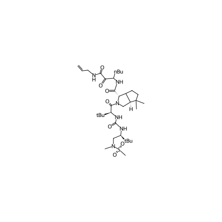 C=CCNC(=O)C(=O)C(CCCC)NC(=O)[C@@H]1C2CCC(C)(C)[C@H]2CN1C(=O)[C@@H](NC(=O)N[C@H](CN(C)S(C)(=O)=O)C(C)(C)C)C(C)(C)C